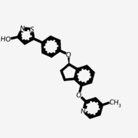 Cc1ccnc(Oc2cccc3c2CC[C@H]3Oc2ccc(-c3cc(O)ns3)cc2)c1